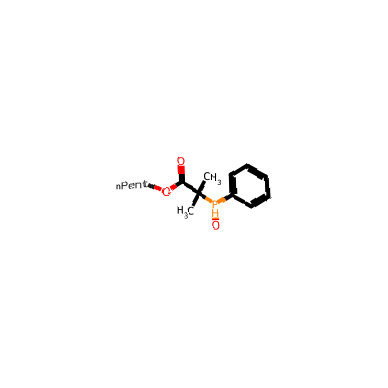 CCCCCOC(=O)C(C)(C)[PH](=O)c1ccccc1